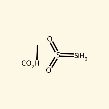 CC(=O)O.O=S(=O)=[SiH2]